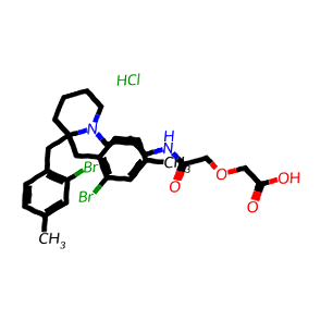 Cc1ccc(CC2(Cc3ccc(C)cc3Br)CCCCN2CCCNC(=O)COCC(=O)O)c(Br)c1.Cl